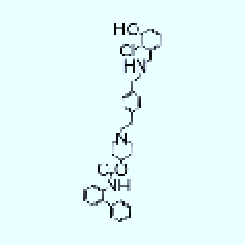 O=C(Nc1ccccc1-c1ccccc1)OC1CCN(CCc2ccc(CCNCc3cccc(O)c3Cl)cc2)CC1